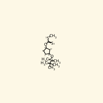 CSC(=S)OC1CCC(O[Si](C)(C)C(C)(C)C)C1